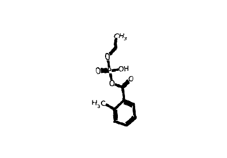 CCOP(=O)(O)OC(=O)c1ccccc1C